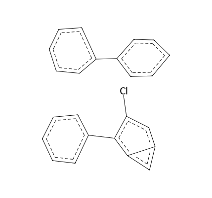 Clc1cc2cc-2c1-c1ccccc1.c1ccc(-c2ccccc2)cc1